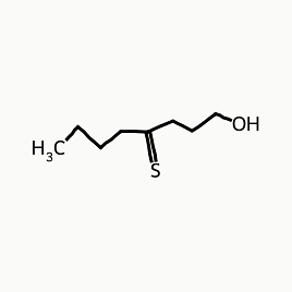 CCCCC(=S)CCCO